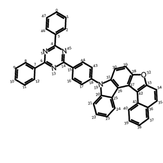 c1ccc(-c2nc(-c3ccccc3)nc(-c3ccc(-n4c5ccccc5c5c6c(ccc54)oc4ccc5ccccc5c46)cc3)n2)cc1